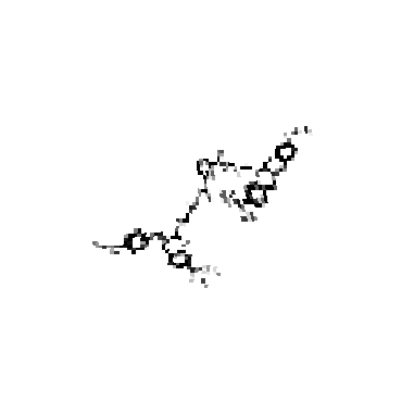 COc1ccc(CN(Cc2ccc(N(C)C)cc2)C(=O)OCOCOC(=O)c2cccc(C(=O)OCOCOC(=O)N(Cc3ccc(OC)cc3)Cc3ccc(N(C)C)cc3)n2)cc1